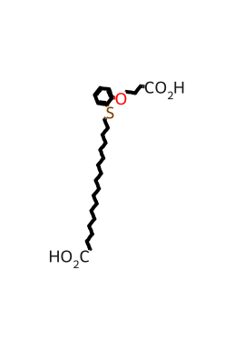 O=C(O)CCCCCCCCCCCCCCCCCCSc1ccccc1OCCCC(=O)O